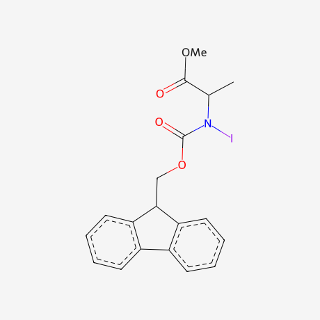 COC(=O)C(C)N(I)C(=O)OCC1c2ccccc2-c2ccccc21